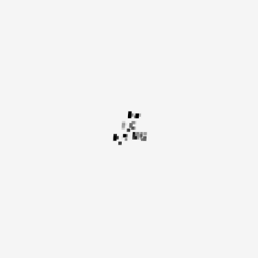 O.O.[BH4-].[Na+]